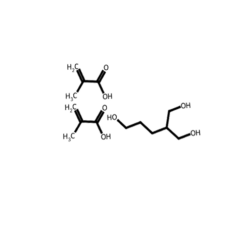 C=C(C)C(=O)O.C=C(C)C(=O)O.OCCCC(CO)CO